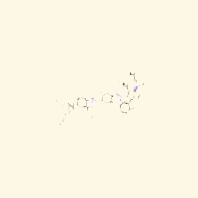 [C-]#[N+]C1=C(/C=C/c2ccc(/C=C/c3ccc(N(CCCC)CCCC)cc3OC)cc2)C(C)(c2ccccc2)O/C1=C(\C)C#N